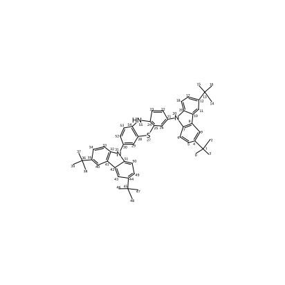 CC(C)(C)c1ccc2c(c1)c1cc(C(C)(C)C)ccc1n2-c1ccc2c(c1)Sc1cc(-n3c4ccc(C(C)(C)C)cc4c4cc(C(C)(C)C)ccc43)ccc1N2